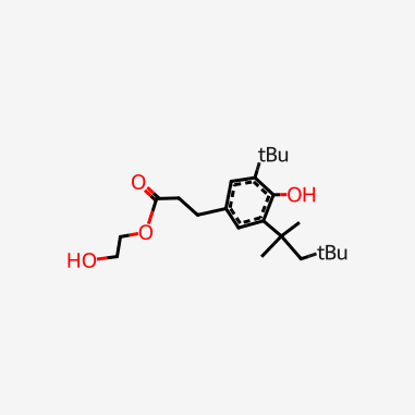 CC(C)(C)CC(C)(C)c1cc(CCC(=O)OCCO)cc(C(C)(C)C)c1O